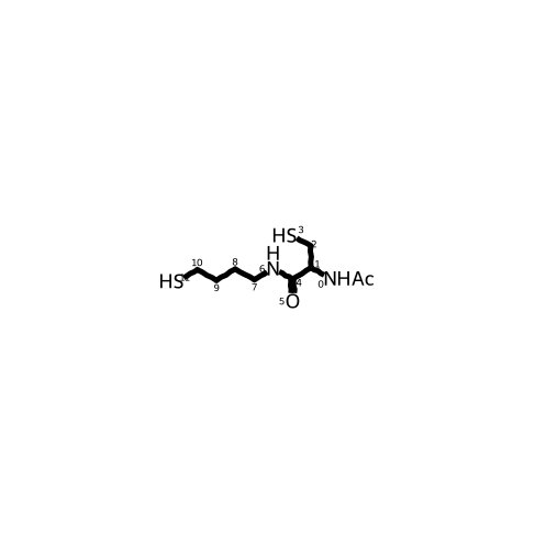 CC(=O)NC(CS)C(=O)NCCCCS